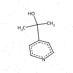 CC(C)(O)c1c[c]ncc1